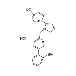 CC(C)(C)c1ccccc1-c1ccc(Cn2cncc2-c2ccc(C#N)cc2)cc1.Cl